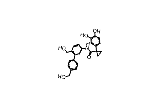 O=C(NC1C=CC(CO)=C(c2ccc(CO)cc2)C1)C1(c2ccc(O)c(O)c2)CC1